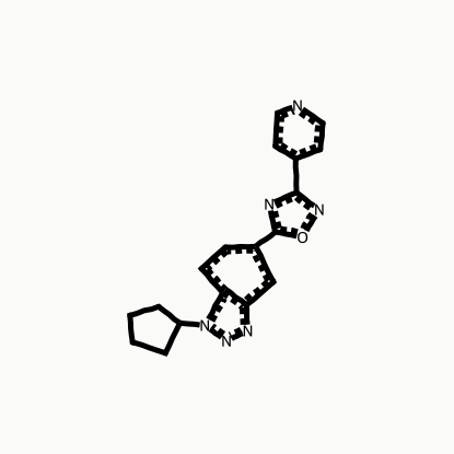 c1cc(-c2noc(-c3ccc4c(c3)nnn4C3CCCC3)n2)ccn1